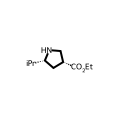 CCOC(=O)[C@H]1CN[C@@H](C(C)C)C1